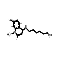 CN1C(I)=CC(NCCCCCCO)c2ccc(Cl)cc21